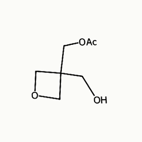 CC(=O)OCC1(CO)COC1